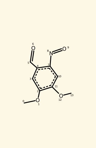 COc1cc(C=O)c(N=O)cc1OC